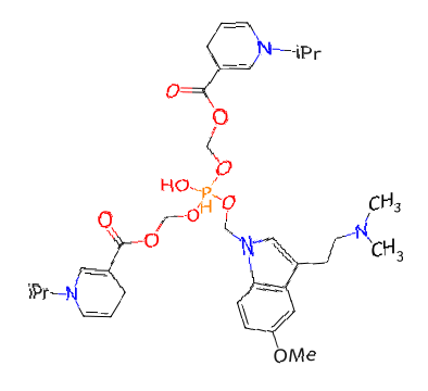 COc1ccc2c(c1)c(CCN(C)C)cn2CO[PH](O)(OCOC(=O)C1=CN(C(C)C)C=CC1)OCOC(=O)C1=CN(C(C)C)C=CC1